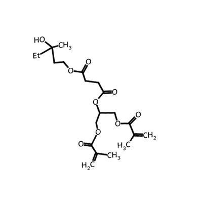 C=C(C)C(=O)OCC(COC(=O)C(=C)C)OC(=O)CCC(=O)OCCC(C)(O)CC